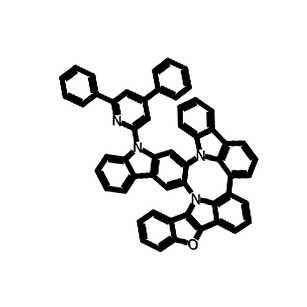 c1ccc(-c2cc(-c3ccccc3)nc(-n3c4ccccc4c4cc5c(cc43)n3c4ccccc4c4cccc(c6cccc7c8oc9ccccc9c8n5c67)c43)c2)cc1